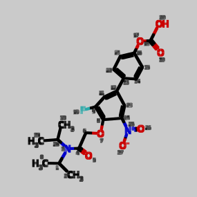 CC(C)N(C(=O)COc1c(F)cc(-c2ccc(OC(=O)O)cc2)cc1[N+](=O)[O-])C(C)C